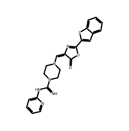 N=C(Nc1ccccn1)N1CCN(/C=C2/N=C(c3cc4ccccc4s3)OC2=O)CC1